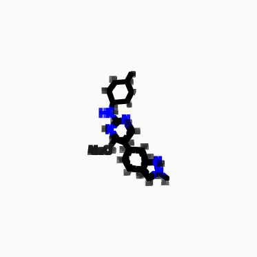 COc1nc(NC2CCC(C)CC2)ncc1-c1ccc2cn(C)nc2c1